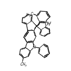 Cc1ccc2c3cc4c(cc3n(-c3ccccc3)c2c1)C(c1ccccc1C)(c1ccccc1O)c1ccccc1-4